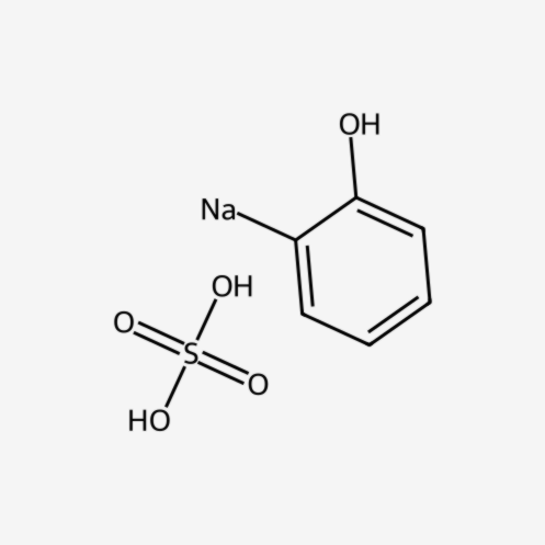 O=S(=O)(O)O.Oc1cccc[c]1[Na]